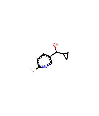 OC(c1ccc(C(F)(F)F)nc1)C1CC1